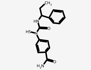 CCC(NC(=O)N(S)c1ccc(C(N)=O)cc1)c1ccccc1